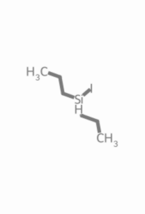 CCC[SiH](I)CCC